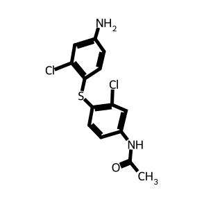 CC(=O)Nc1ccc(Sc2ccc(N)cc2Cl)c(Cl)c1